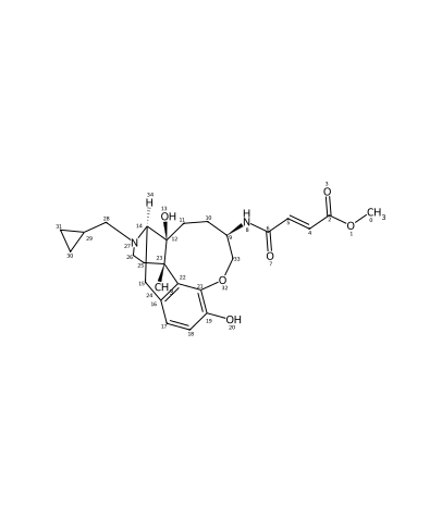 COC(=O)/C=C/C(=O)N[C@@H]1CC[C@@]2(O)[C@H]3Cc4ccc(O)c(c4[C@]2(C)CCN3CC2CC2)OC1